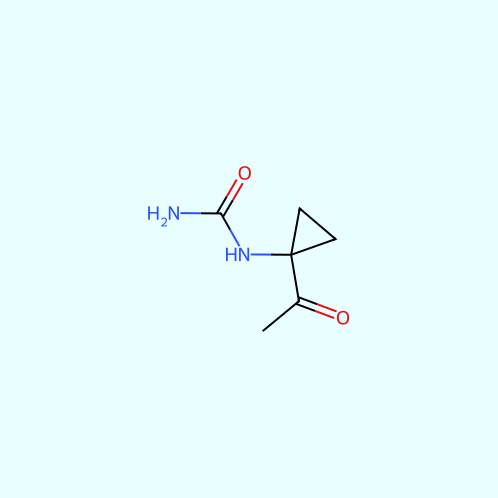 CC(=O)C1(NC(N)=O)CC1